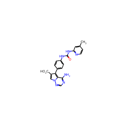 Cc1ccnc(NC(=O)Nc2ccc(-c3c(C(=O)O)cn4ncnc(N)c34)cc2)c1